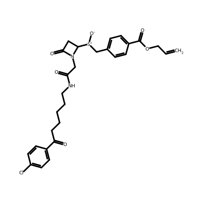 C=CCOC(=O)c1ccc(C[S+]([O-])C2CC(=O)N2CC(=O)NCCCCCC(=O)c2ccc(Cl)cc2)cc1